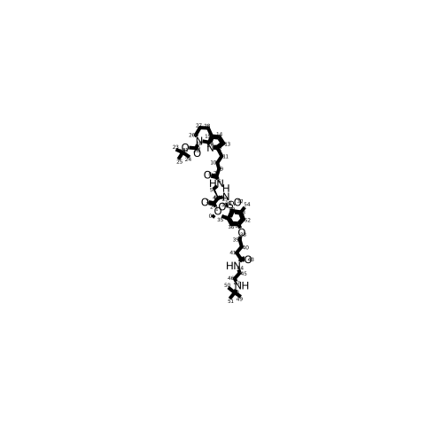 COC(=O)[C@@H](CNC(=O)CCCc1ccc2c(n1)N(C(=O)OC(C)(C)C)CCC2)NS(=O)(=O)c1c(C)cc(OCCCC(=O)NCCNC(C)(C)C)cc1C